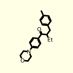 CCC(Cc1ccc(C)cc1)C(=O)c1ccc(N2CCOCC2)cc1